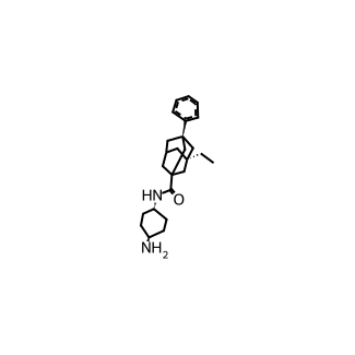 CC[C@@]12CC3CC(C(=O)N[C@H]4CC[C@H](N)CC4)(C1)C[C@](c1ccccc1)(C3)C2